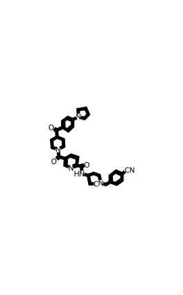 N#Cc1ccc(CN2CCC(NC(=O)c3ccc(C(=O)N4CCC(C(=O)c5ccc(N6CCCC6)cc5)CC4)cn3)CC2)cc1